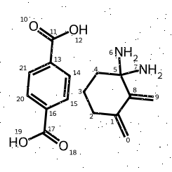 C=C1CCCC(N)(N)C1=C.O=C(O)c1ccc(C(=O)O)cc1